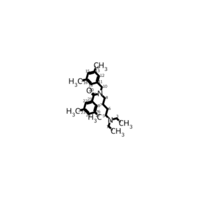 CCN(CC)CCCCN(Cc1cc(C)cc(C)c1)C(=O)c1cc(C)cc(C)c1